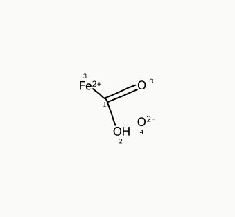 O=[C](O)[Fe+2].[O-2]